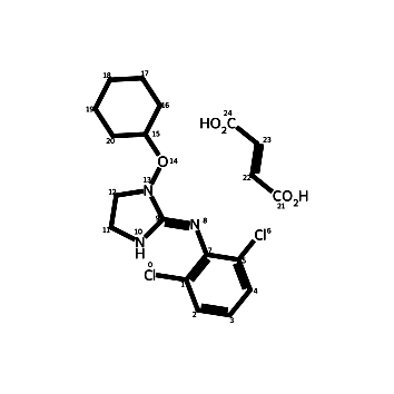 Clc1cccc(Cl)c1N=C1NCCN1OC1CCCCC1.O=C(O)C=CC(=O)O